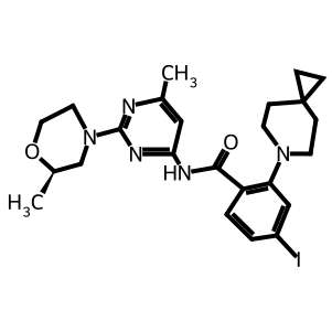 Cc1cc(NC(=O)c2ccc(I)cc2N2CCC3(CC2)CC3)nc(N2CCO[C@H](C)C2)n1